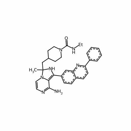 CCNC(=O)N1CCC(CC2(C)NC(c3ccc4ccc(-c5ccccc5)nc4c3)=C3C(N)=NC=CN32)CC1